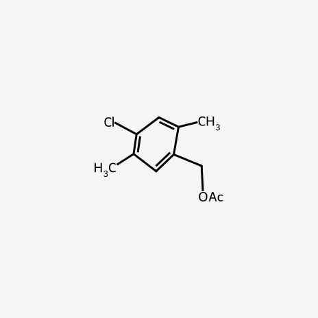 CC(=O)OCc1cc(C)c(Cl)cc1C